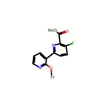 CCOc1ncccc1-c1ccc(F)c(C(=O)OC)n1